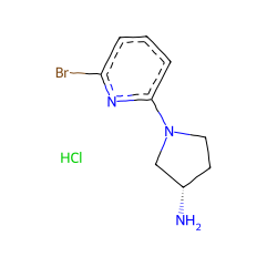 Cl.N[C@H]1CCN(c2cccc(Br)n2)C1